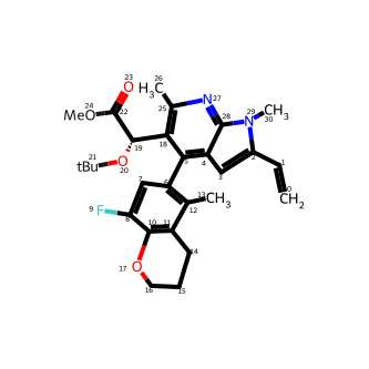 C=Cc1cc2c(-c3cc(F)c4c(c3C)CCCO4)c([C@H](OC(C)(C)C)C(=O)OC)c(C)nc2n1C